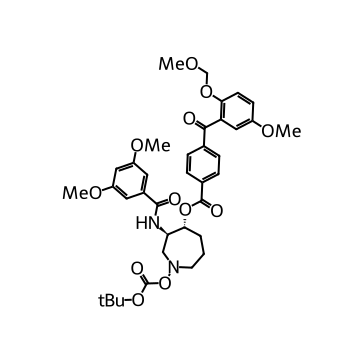 COCOc1ccc(OC)cc1C(=O)c1ccc(C(=O)O[C@@H]2CCCN(OC(=O)OC(C)(C)C)C[C@H]2NC(=O)c2cc(OC)cc(OC)c2)cc1